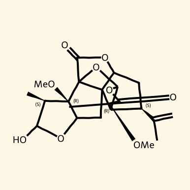 C=C(C)[C@@H]1CC2OC(=O)C34OC5OC(=O)[C@H](OC)C51C23CC1OC(O)[C@@H](C)[C@@]14OC